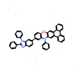 c1ccc(-c2nc3ccc(-c4ccc5c(c4)N(c4ccccc4)c4cc6c7ccccc7c7ccccc7c6cc4O5)cc3n2-c2ccccc2)cc1